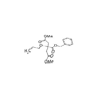 C=CCOC(CC(=O)OC)(CC(=O)OC)C(=O)OCc1ccccc1